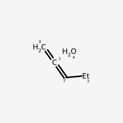 C=C=CCC.O